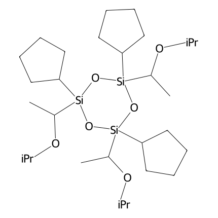 CC(C)OC(C)[Si]1(C2CCCC2)O[Si](C2CCCC2)(C(C)OC(C)C)O[Si](C2CCCC2)(C(C)OC(C)C)O1